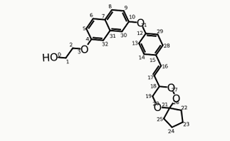 OCCOc1ccc2ccc(Oc3ccc(C=CC4COC5(CCCC5)OO4)cc3)cc2c1